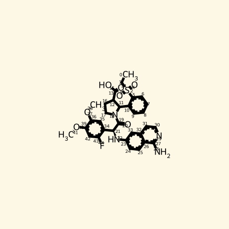 CCS(=O)(=O)c1ccccc1C1C(C(=O)O)CCN1C(=O)[C@@H](Nc1ccc2c(N)nccc2c1)c1cc(OC)c(OC)cc1F